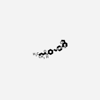 CC(C)CCC(=O)N[C@H]1CC[C@H](CCN2CCN(c3nccc4c3OCC4)CC2)CC1